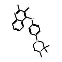 Cc1nc2ccccc2c(Nc2ccc(N3CCN(C)C(C)(C)C3)cc2)c1C